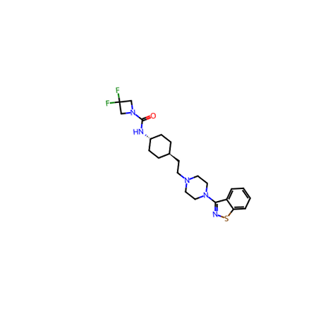 O=C(N[C@H]1CC[C@H](CCN2CCN(c3nsc4ccccc34)CC2)CC1)N1CC(F)(F)C1